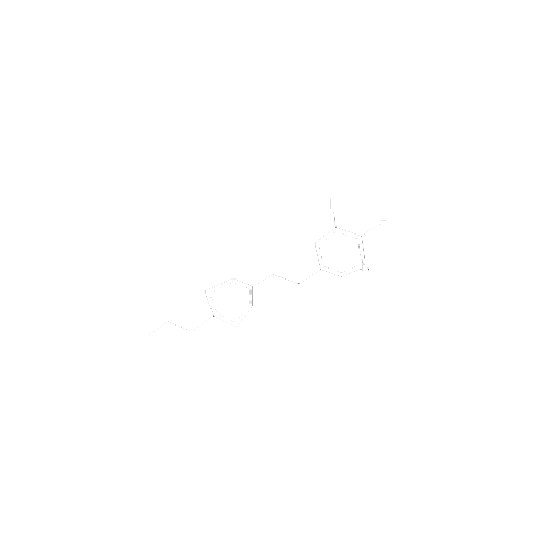 CCCc1ccc(CCc2cnc(F)c(F)c2)cc1